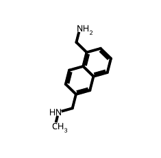 CNCc1ccc2c(CN)cccc2c1